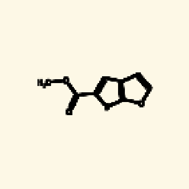 COC(=O)c1cc2ccoc2s1